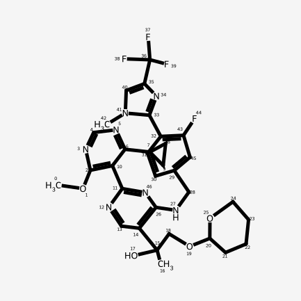 COc1ncnc(C2CC2)c1-c1ncc(C(C)(O)COC2CCCCO2)c(NCc2ccc(-c3nc(C(F)(F)F)cn3C)c(F)c2)n1